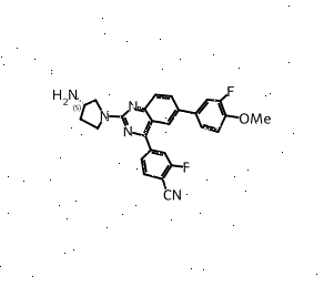 COc1ccc(-c2ccc3nc(N4CC[C@H](N)C4)nc(-c4ccc(C#N)c(F)c4)c3c2)cc1F